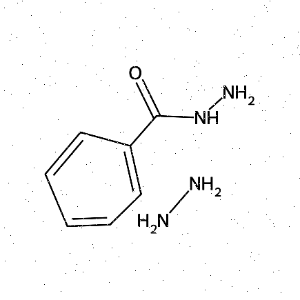 NN.NNC(=O)c1ccccc1